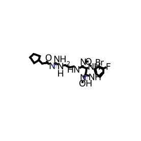 N/C(=N\C(=O)CC1CCCC1)NCCCNC1=NONC1/C(=N/O)Nc1ccc(F)c(Br)c1